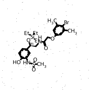 CC[Si](CC)(CC)O[C@@H](CNC(=O)COc1cc(C)c(Br)c(C)c1)c1ccc(O)c(NS(C)(=O)=O)c1